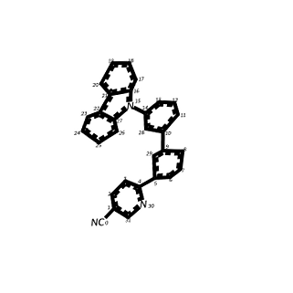 N#Cc1ccc(-c2cccc(-c3cccc(-n4c5ccccc5c5ccccc54)c3)c2)nc1